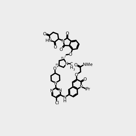 CNC(=O)COc1cc2cc(Nc3nc(N4CCC(O[C@@H]5C[C@H](COc6cccc7c6C(=O)N(C6CCC(=O)NC6=O)C7=O)N(C)C5)CC4)ncc3Cl)ccc2n(C(C)C)c1=O